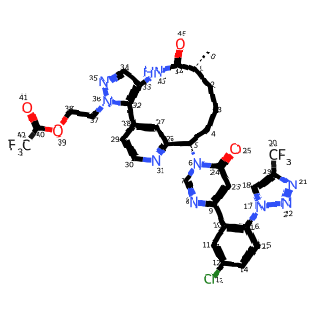 C[C@@H]1CCC[C@H](n2cnc(-c3cc(Cl)ccc3-n3cc(C(F)(F)F)nn3)cc2=O)c2cc(ccn2)-c2c(cnn2CCOC(=O)C(F)(F)F)NC1=O